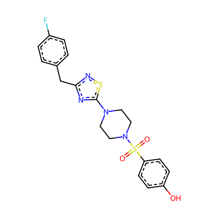 O=S(=O)(c1ccc(O)cc1)N1CCN(c2nc(Cc3ccc(F)cc3)ns2)CC1